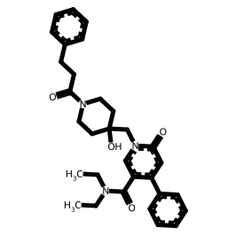 CCN(CC)C(=O)c1cn(CC2(O)CCN(C(=O)CCc3ccccc3)CC2)c(=O)cc1-c1ccccc1